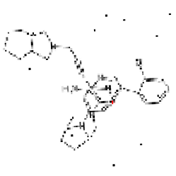 Nc1nnc(-c2ccccc2O)cc1N1CC2CCC(C1)N2c1ccnc(C#CCN2CC3CCCCC3C2)c1